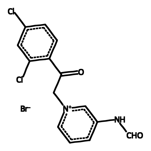 O=CNc1ccc[n+](CC(=O)c2ccc(Cl)cc2Cl)c1.[Br-]